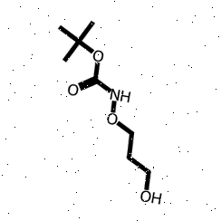 CC(C)(C)OC(=O)NOCCCO